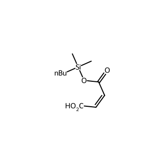 CCCC[Si](C)(C)OC(=O)/C=C\C(=O)O